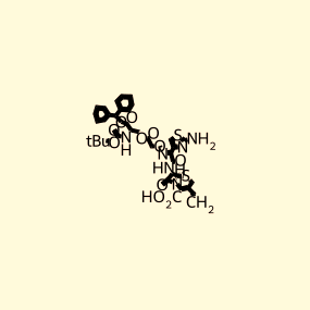 C=CC1=C(C(=O)O)N2C(=O)C(NC(=O)C(=NOCC(=O)OCC(NC(=O)OC(C)(C)C)C(=O)OC(c3ccccc3)c3ccccc3)c3csc(N)n3)[C@@H]2SC1